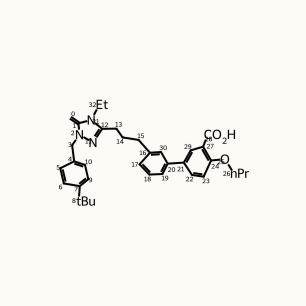 C=C1N(Cc2ccc(C(C)(C)C)cc2)N=C(CCCc2cccc(-c3ccc(OCCC)c(C(=O)O)c3)c2)N1CC